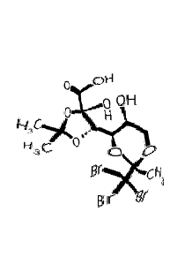 CC1(C)O[C@@H]([C@@H]2OC(C)(C(Br)(Br)Br)OC[C@@H]2O)[C@@](O)(C(=O)O)O1